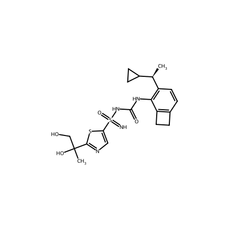 C[C@@H](c1ccc2c(c1NC(=O)NS(=N)(=O)c1cnc(C(C)(O)CO)s1)CC2)C1CC1